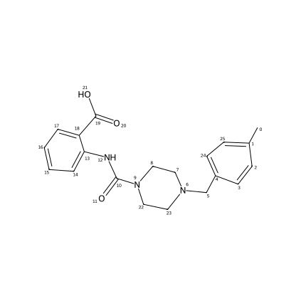 Cc1ccc(CN2CCN(C(=O)Nc3ccccc3C(=O)O)CC2)cc1